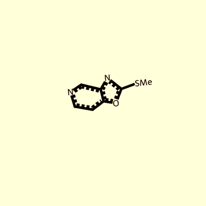 CSc1nc2cnccc2o1